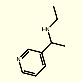 CCNC(C)c1cccnc1